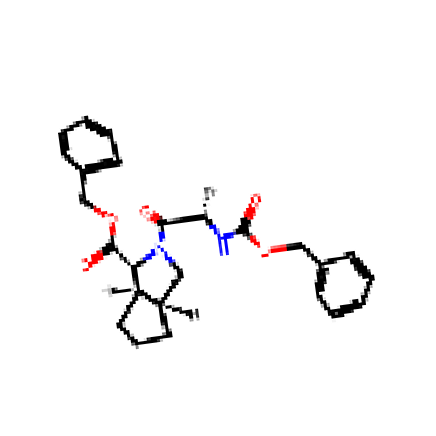 CC[C@H](NC(=O)OCc1ccccc1)C(=O)N1C[C@@H]2CCC[C@@H]2[C@H]1C(=O)OCc1ccccc1